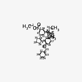 CCOC(=O)c1cc(C2=C(c3cc(C(F)(F)F)ccc3OCc3ccccc3)CCC2)cc(N(CC)CC)c1